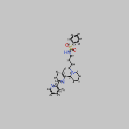 CC1=C(C2CCCCN2CCCCNS(=O)(=O)c2ccccc2)N=C(c2ncccc2C)CC1